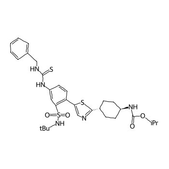 CC(C)OC(=O)N[C@H]1CC[C@H](c2ncc(-c3ccc(NC(=S)NCc4ccccc4)cc3S(=O)(=O)NC(C)(C)C)s2)CC1